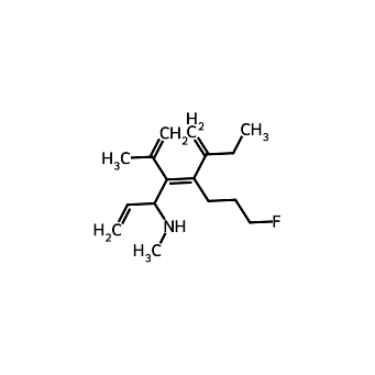 C=CC(NC)/C(C(=C)C)=C(\CCCF)C(=C)CC